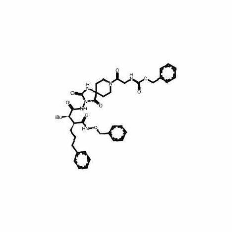 CCC(C)[C@@H](C(=O)NN1C(=O)NC2(CCN(C(=O)CNC(=O)OCc3ccccc3)CC2)C1=O)[C@H](CCCc1ccccc1)C(=O)NOCc1ccccc1